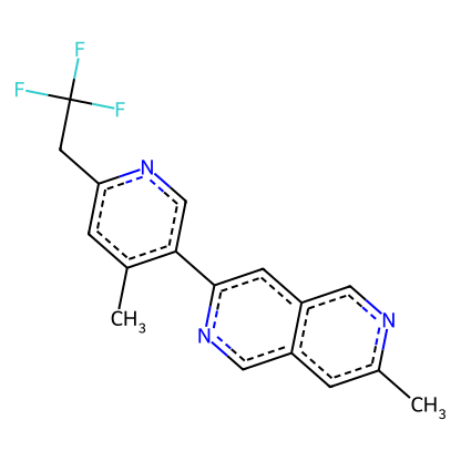 Cc1cc2cnc(-c3cnc(CC(F)(F)F)cc3C)cc2cn1